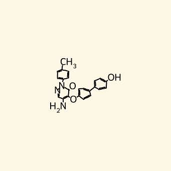 Cc1ccc(-n2ncc(N)c(Oc3ccc(-c4ccc(O)cc4)cc3)c2=O)cc1